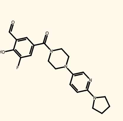 O=Cc1cc(C(=O)N2CCN(c3ccc(N4CCCC4)nc3)CC2)cc(F)c1O